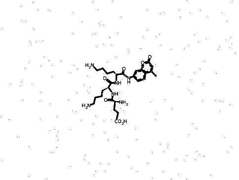 Cc1cc(=O)oc2cc(NC(=O)[C@H](CCCCN)NC(=O)[C@H](CCCCN)NC(=O)[C@@H](N)CCC(=O)O)ccc12